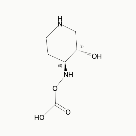 O=C(O)ON[C@H]1CCNC[C@@H]1O